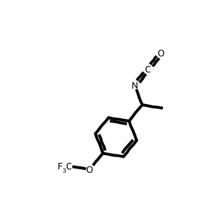 CC(N=C=O)c1ccc(OC(F)(F)F)cc1